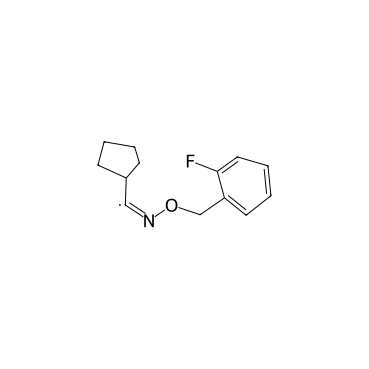 Fc1ccccc1CO/N=[C]\C1CCCC1